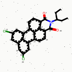 CCC(CC)N1C(=O)c2ccc3c4cc(Cl)cc5cc(Cl)cc(c6ccc(c2c36)C1=O)c54